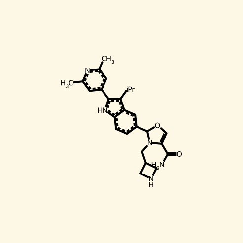 Cc1cc(-c2[nH]c3ccc(C4OC=C(C(N)=O)N4CC4CNC4)cc3c2C(C)C)cc(C)n1